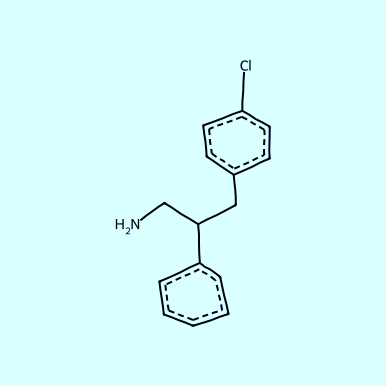 NCC(Cc1ccc(Cl)cc1)c1ccccc1